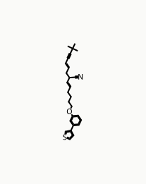 CC(C)(C)C#CC=CCC(C#N)C=CCCCCOc1cccc(-c2ccsc2)c1